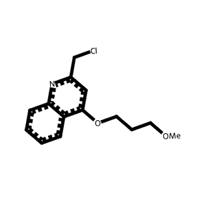 COCCCOc1cc(CCl)nc2ccccc12